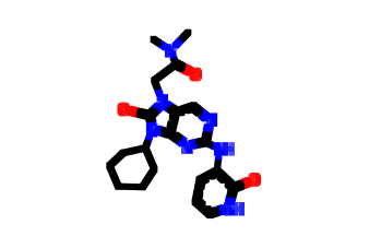 CN(C)C(=O)Cn1c(=O)n(C2CCCCC2)c2nc(Nc3ccc[nH]c3=O)ncc21